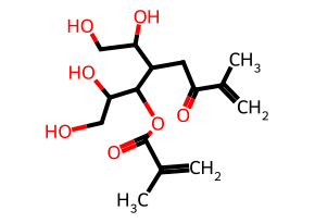 C=C(C)C(=O)CC(C(O)CO)C(OC(=O)C(=C)C)C(O)CO